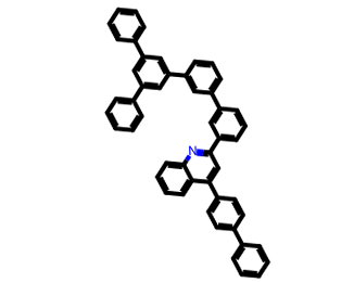 c1ccc(-c2ccc(-c3cc(-c4cccc(-c5cccc(-c6cc(-c7ccccc7)cc(-c7ccccc7)c6)c5)c4)nc4ccccc34)cc2)cc1